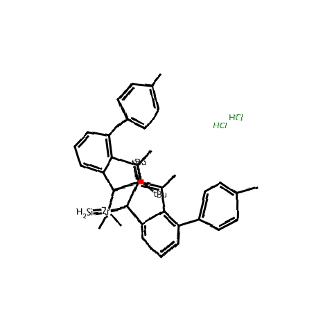 CC1=C(C(C)(C)C)[CH]([Zr]([CH3])([CH3])(=[SiH2])[CH]2C(C(C)(C)C)=C(C)c3c(-c4ccc(C)cc4)cccc32)c2cccc(-c3ccc(C)cc3)c21.Cl.Cl